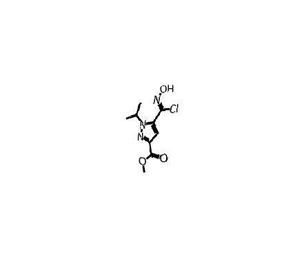 COC(=O)c1cc(/C(Cl)=N/O)n(C(C)C)n1